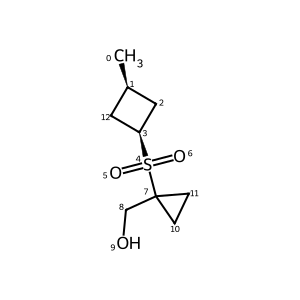 C[C@H]1C[C@@H](S(=O)(=O)C2(CO)CC2)C1